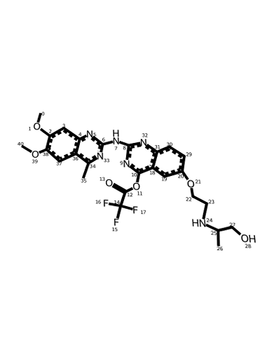 COc1cc2nc(Nc3nc(OC(=O)C(F)(F)F)c4cc(OCCNC(C)CO)ccc4n3)nc(C)c2cc1OC